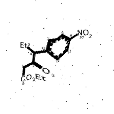 CCOC(=O)CC(=O)C(CC)c1ccc([N+](=O)[O-])cc1